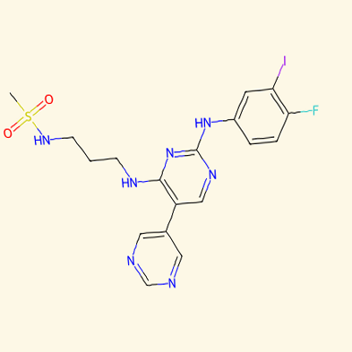 CS(=O)(=O)NCCCNc1nc(Nc2ccc(F)c(I)c2)ncc1-c1cncnc1